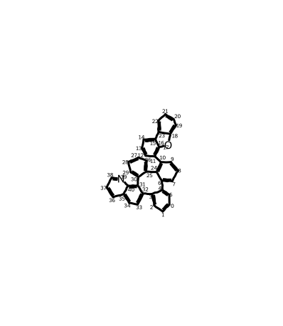 c1ccc2c(c1)-c1cccc(-c3cccc4c3oc3ccccc34)c1-c1ccccc1-c1c-2ccc2cccnc12